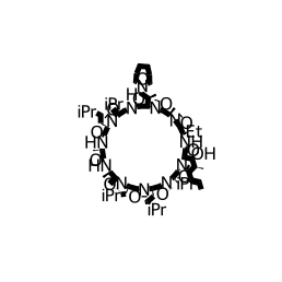 C/C=C/C[C@@H](C)[C@@H](O)[C@H]1C(=O)N[C@@H](CC)C(=O)N(C)[C@H](C)C(=O)N(C)[C@@H]([C@H](C)CN2CC3CCC(C2)O3)C(=O)N[C@@H](C(C)C)C(=O)N(C)[C@@H](CCC(C)C)C(=O)N[C@@H](C)C(=O)N[C@H](C)C(=O)N(C)[C@@H](CC(C)C)C(=O)N(C)[C@@H](CCC(C)C)C(=O)N(C)[C@@H](C(C)C)C(=O)N1C